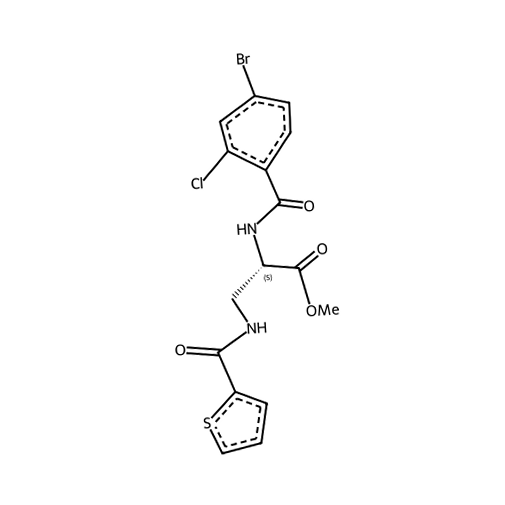 COC(=O)[C@H](CNC(=O)c1cccs1)NC(=O)c1ccc(Br)cc1Cl